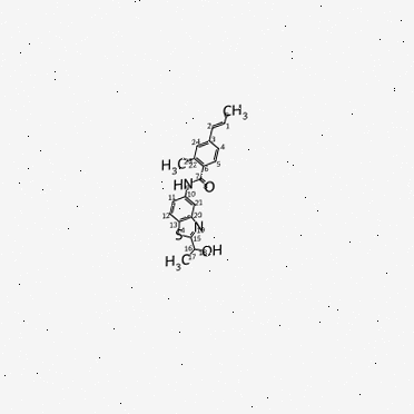 C/C=C/c1ccc(C(=O)Nc2ccc3sc(C(C)O)nc3c2)c(C)c1